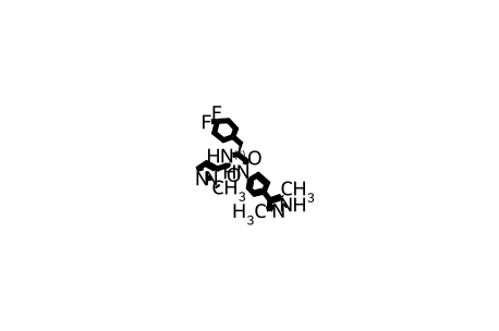 Cc1n[nH]c(C)c1-c1ccc(NC(=O)[C@H](CC2CCC(F)(F)CC2)NC(=O)c2ccnn2C)cc1